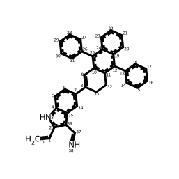 C=Cc1[nH]c2ccc(C3=Cc4c(c(-c5ccccc5)c5ccccc5c4-c4ccccc4)CC3)cc2c1C=N